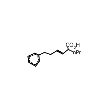 CCCC(C=CCCc1ccccc1)C(=O)O